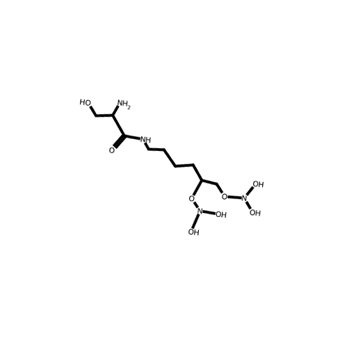 NC(CO)C(=O)NCCCCC(CON(O)O)ON(O)O